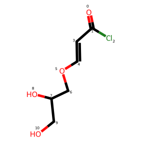 O=C(Cl)C=COCC(O)CO